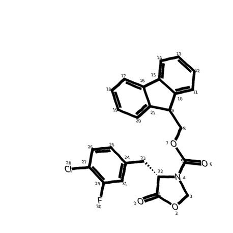 O=C1OCN(C(=O)OCC2c3ccccc3-c3ccccc32)[C@H]1Cc1ccc(Cl)c(F)c1